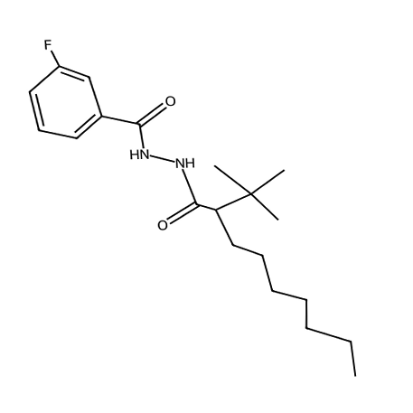 CCCCCCCC(C(=O)NNC(=O)c1cccc(F)c1)C(C)(C)C